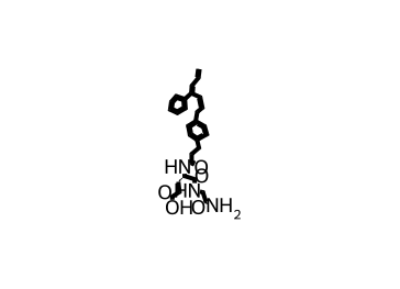 C=C/C=C(\C=C/Cc1ccc(CCC(=O)N[C@@H](CCC(=O)O)C(=O)NCC(N)=O)cc1)c1ccccc1